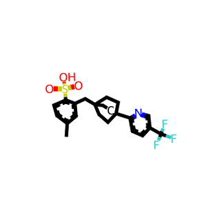 Cc1ccc(S(=O)(=O)O)c(CC23CCC(c4ccc(C(F)(F)F)cn4)(CC2)CC3)c1